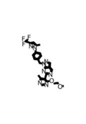 COCCOc1ncnc(C)c1-c1ncc2cnn(Cc3ccc(-n4nc(C(F)(F)F)cc4C)cc3)c2n1